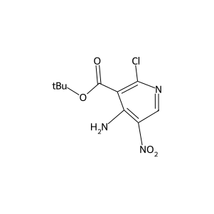 CC(C)(C)OC(=O)c1c(Cl)ncc([N+](=O)[O-])c1N